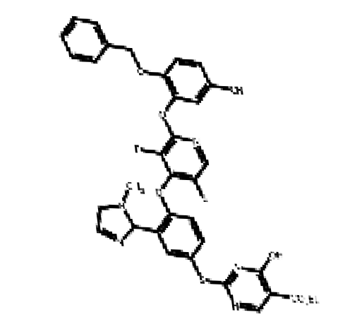 CCOC(=O)c1cnc(Sc2ccc(Oc3c(F)cnc(Oc4cc(C#N)ccc4OCc4ccccc4)c3F)c(C3N=CCN3C)c2)nc1O